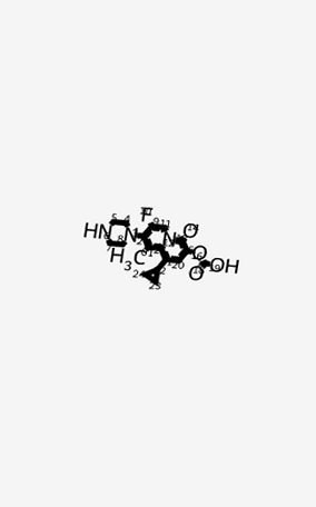 Cc1c(N2CCNCC2)c(F)cn2c(=O)c(OC(=O)O)cc(C3CC3)c12